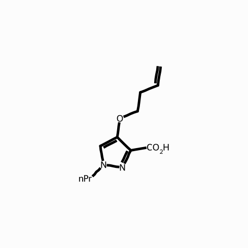 C=CCCOc1cn(CCC)nc1C(=O)O